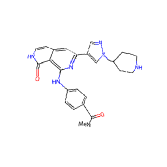 CNC(=O)c1ccc(Nc2nc(-c3cnn(C4CCNCC4)c3)cc3cc[nH]c(=O)c23)cc1